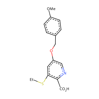 CCSc1cc(OCc2ccc(OC)cc2)cnc1C(=O)O